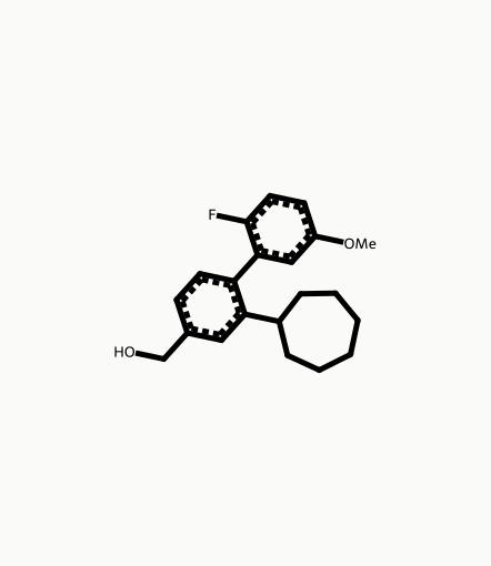 COc1ccc(F)c(-c2ccc(CO)cc2C2CCCCCC2)c1